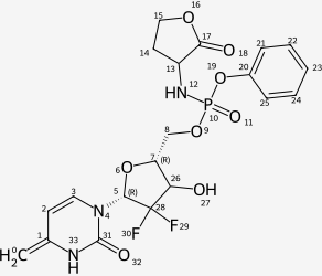 C=C1C=CN([C@@H]2O[C@H](COP(=O)(NC3CCOC3=O)Oc3ccccc3)C(O)C2(F)F)C(=O)N1